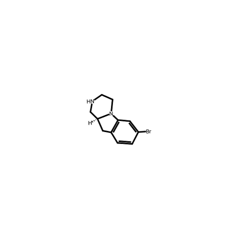 Brc1ccc2c(c1)N1CCNC[C@@H]1C2